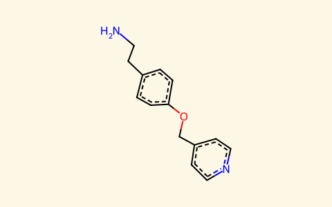 NCCc1ccc(OCc2ccncc2)cc1